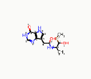 CSC(O)C(C)NC(O)Cc1c[nH]c2c(=O)[nH]cnc12